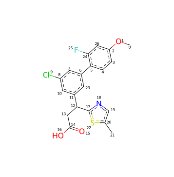 COc1ccc(-c2cc(Cl)cc(C(CC(=O)O)c3ncc(C)s3)c2)c(F)c1